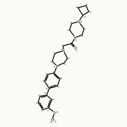 O=C(CN1CCN(c2ccc(-c3cccc(OC(F)(F)F)c3)cc2)CC1)N1CCN(C2CCC2)CC1